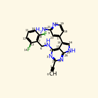 C#Cc1nc(NCc2c(F)cccc2F)c2c(-c3ccnc(N)c3)c[nH]c2n1